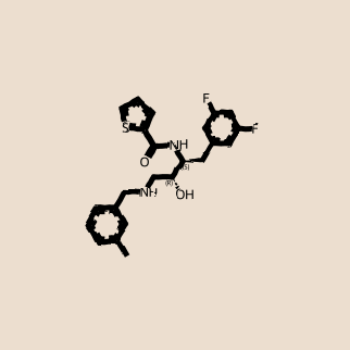 Cc1cccc(CNC[C@@H](O)[C@H](Cc2cc(F)cc(F)c2)NC(=O)c2cccs2)c1